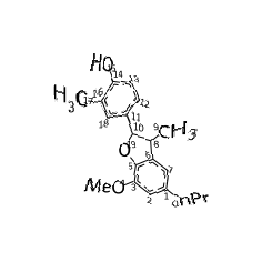 CCCc1cc(OC)c2c(c1)C(C)C(c1ccc(O)c(C)c1)O2